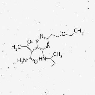 CCOCCc1nc(NC2(C)CC2)c2c(C(N)=O)c(C)oc2n1